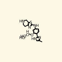 COc1cc(Nc2nc3c(s2)CNCC3)ccc1-c1nc(C)c[nH]1.Cl.Cl.Cl